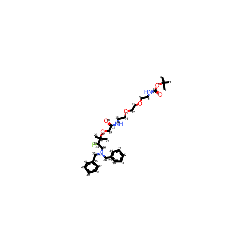 CC(C)(C)OC(=O)NCCOCCOCCNC(=O)COC(C)(C)C(F)CN(Cc1ccccc1)Cc1ccccc1